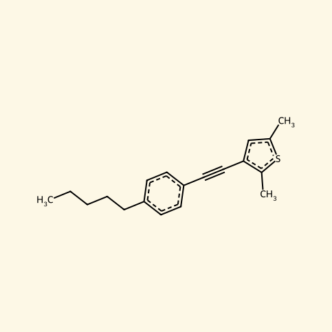 CCCCCc1ccc(C#Cc2cc(C)sc2C)cc1